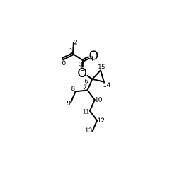 C=C(C)C(=O)OC1(C(CC)CCCC)CC1